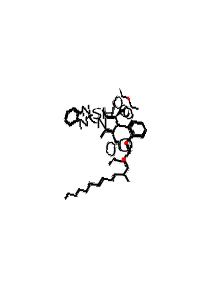 CCCCCCCCCCC(C)CCCCc1cccc(OC(C)C)c1C1C(C(=O)OC(C)C)=C(C)N(CC2(S)N=c3ccccc3=N2)C(C)=C1C(=O)OC(C)C